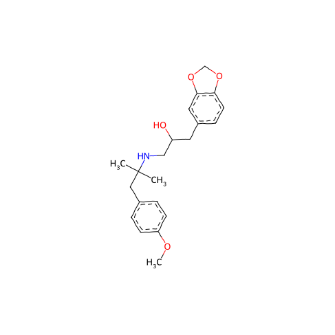 COc1ccc(CC(C)(C)NCC(O)Cc2ccc3c(c2)OCO3)cc1